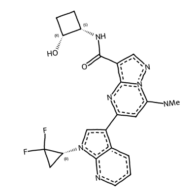 CNc1cc(-c2cn([C@@H]3CC3(F)F)c3ncccc23)nc2c(C(=O)N[C@H]3CC[C@H]3O)cnn12